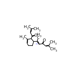 CC(C)=CC(=O)/C=C(\C)C1CCC=C(C)C1C(=O)C=C(C)C